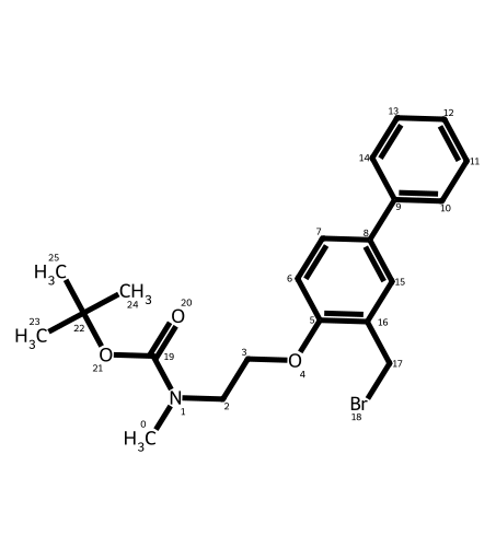 CN(CCOc1ccc(-c2ccccc2)cc1CBr)C(=O)OC(C)(C)C